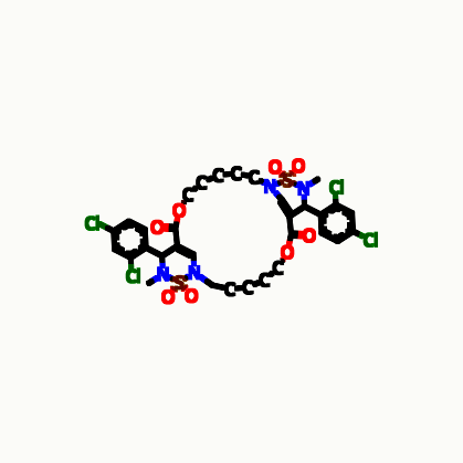 CN1C(c2ccc(Cl)cc2Cl)C2=CN(CCCCCOC(=O)C3=CN(CCCCCOC2=O)S(=O)(=O)N(C)C3c2ccc(Cl)cc2Cl)S1(=O)=O